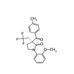 COc1ccccc1N1CC[C@@](CC(F)(F)F)(C(=O)c2ccc(C)cc2)C1=O